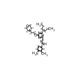 CCCN(CCC)c1nc(/C=N/Nc2ccc(C)c(C)c2)nc(OCCN2CCOCC2)n1